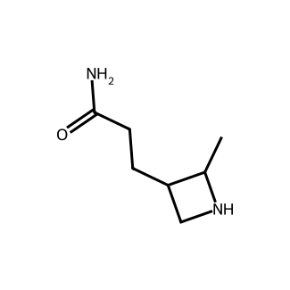 CC1NCC1CCC(N)=O